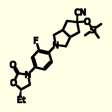 CC[C@H]1CN(c2ccc(N3CC4CC(C#N)(O[Si](C)(C)C)CC4C3)c(F)c2)C(=O)O1